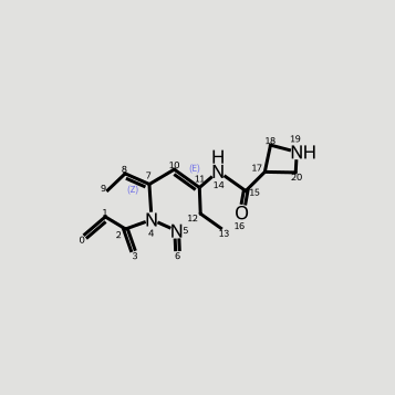 C=CC(=C)N(N=C)C(=C\C)/C=C(\CC)NC(=O)C1CNC1